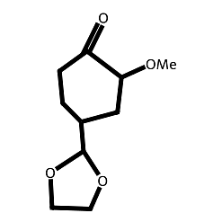 COC1CC(C2OCCO2)CCC1=O